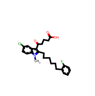 Cn1c(CCCCCCc2ccccc2F)c(C(=O)CCCC(=O)O)c2cc(Cl)ccc21